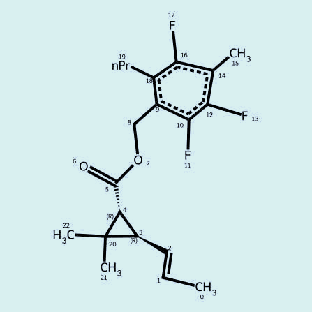 CC=C[C@@H]1[C@@H](C(=O)OCc2c(F)c(F)c(C)c(F)c2CCC)C1(C)C